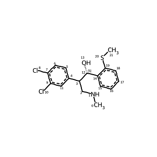 CNCC(c1ccc(Cl)c(Cl)c1)[C@H](O)c1ccccc1SC